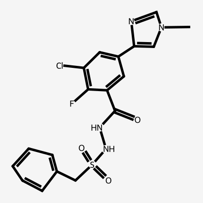 Cn1cnc(-c2cc(Cl)c(F)c(C(=O)NNS(=O)(=O)Cc3ccccc3)c2)c1